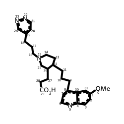 COc1ccc2nccc(CCCC3CCN(CCCc4ccnnc4)CC3CCC(=O)O)c2c1